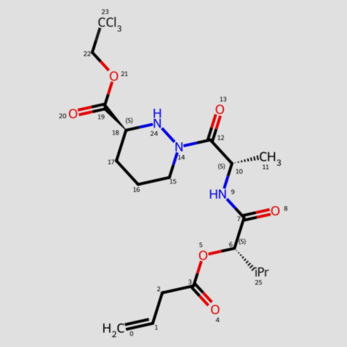 C=CCC(=O)O[C@H](C(=O)N[C@@H](C)C(=O)N1CCC[C@@H](C(=O)OCC(Cl)(Cl)Cl)N1)C(C)C